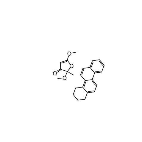 COC1=CC(=O)C(C)(OC)O1.c1ccc2c(c1)ccc1c3c(ccc12)CCCC3